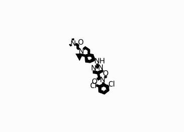 CN(C)C(=O)CN1CCc2cc(Nc3ncc4c(n3)OCN(c3c(Cl)cccc3Cl)C4=O)ccc2C12CC2